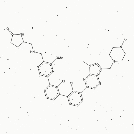 COc1nc(-c2cccc(-c3cccc(-c4cnc5c(CN6CCN(C(C)=O)CC6)cn(C)c5n4)c3Cl)c2Cl)cnc1CNCC1CCC(=O)N1